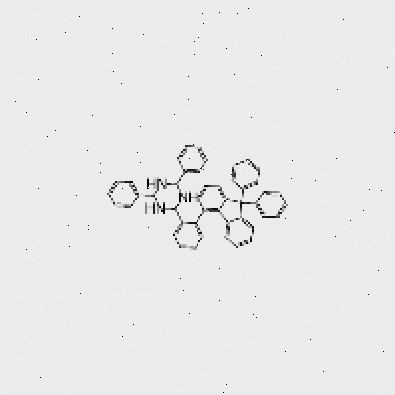 c1ccc(C2NC(c3ccccc3)NC(c3ccccc3-c3cccc4c3-c3ccccc3C4(c3ccccc3)c3ccccc3)N2)cc1